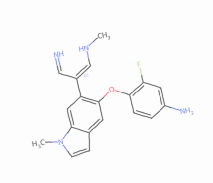 CN/C=C(\C=N)c1cc2c(ccn2C)cc1Oc1ccc(N)cc1F